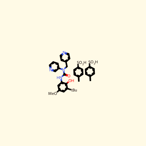 COc1cc(NC(=O)N(Cc2ccncc2)c2cccnc2)c(O)c(C(C)(C)C)c1.Cc1ccc(S(=O)(=O)O)cc1.Cc1ccc(S(=O)(=O)O)cc1